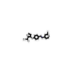 CCC(=O)c1occc1Sc1ccc(/C=C/c2ccnc(C)c2)cc1